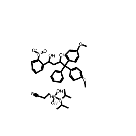 CC(C)N(C(C)C)[PH](O)(O)CCC#N.COc1ccc(C(c2ccccc2)(c2ccc(OC)cc2)C(O)CC(O)c2ccccc2[N+](=O)[O-])cc1